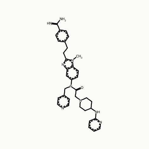 Cn1c(CCc2ccc(C(=N)N)cc2)nc2cc(N(Cc3ccncc3)C(=O)CN3CCC(Nc4ccccn4)CC3)ccc21